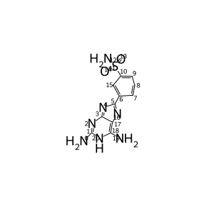 Nc1nc2nc(-c3cccc(S(N)(=O)=O)c3)nc-2c(N)[nH]1